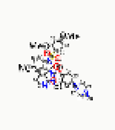 CCOc1ncccc1C1(NC(=O)c2ccc(N3CCN(C)CC3)cc2)C(=O)N(S(=O)(=O)c2ccc(OC)cc2OC)c2ccc(C#N)cc21